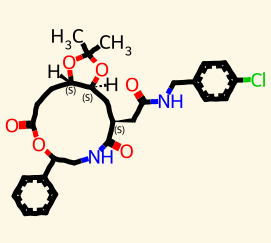 CC1(C)O[C@H]2CCC(=O)OC(c3ccccc3)CNC(=O)[C@H](CC(=O)NCc3ccc(Cl)cc3)C[C@@H]2O1